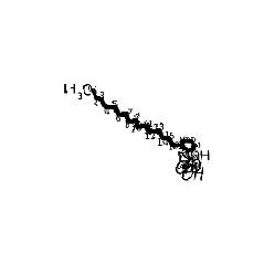 CCCCCCCCCCCCCCCC=Cc1cccc2[nH]c(S(=O)(=O)O)nc12